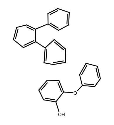 Oc1ccccc1Oc1ccccc1.c1ccc(-c2ccccc2-c2ccccc2)cc1